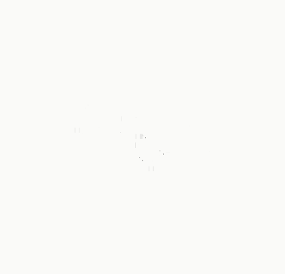 CCC(C)CB1NBNB(CC(C)(CC)CC(C)CC)N1